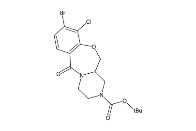 CC(C)(C)OC(=O)N1CCN2C(=O)c3ccc(Br)c(Cl)c3OCC2C1